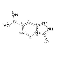 O=c1[nH]nc2cc(B(O)O)ncn12